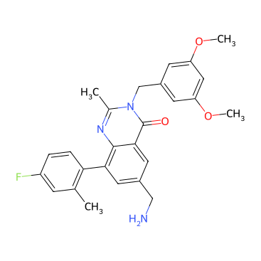 COc1cc(Cn2c(C)nc3c(-c4ccc(F)cc4C)cc(CN)cc3c2=O)cc(OC)c1